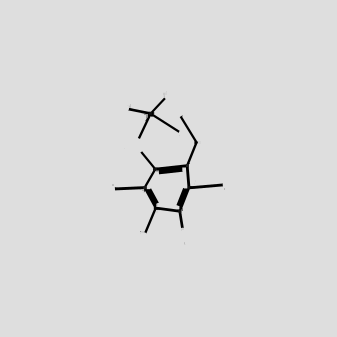 CCc1c(C)c(O)c(C)c(C)c1OC(C)(C)C